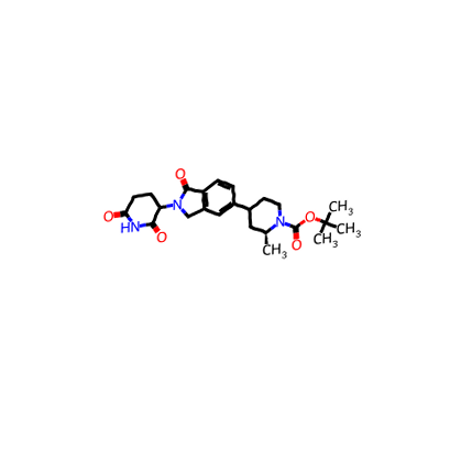 C[C@H]1CC(c2ccc3c(c2)CN(C2CCC(=O)NC2=O)C3=O)CCN1C(=O)OC(C)(C)C